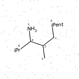 CCCC(C)CC(C)C(N)C(C)C